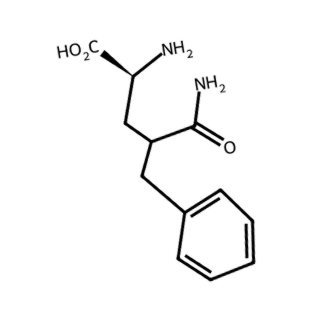 NC(=O)C(Cc1ccccc1)C[C@H](N)C(=O)O